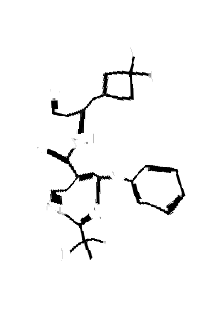 CC(F)(F)c1ncc(C(=O)NC(C=O)C2CC(F)(F)C2)c(Oc2ccccc2)n1